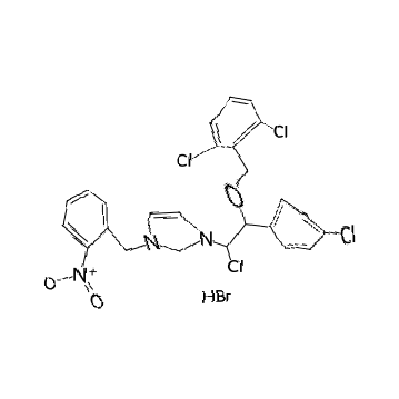 Br.O=[N+]([O-])c1ccccc1CN1C=CN(C(Cl)C(OCc2c(Cl)cccc2Cl)c2ccc(Cl)cc2)C1